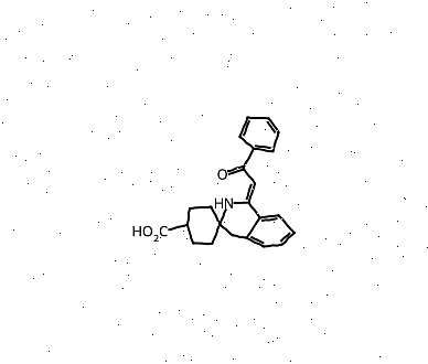 O=C(/C=C1\NC2(CCC(C(=O)O)CC2)Cc2ccccc21)c1ccccc1